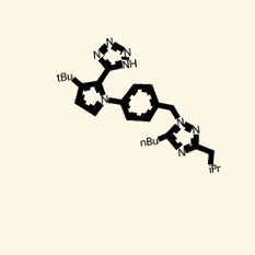 CCCCc1nc(CC(C)C)nn1Cc1ccc(-n2ccc(C(C)(C)C)c2-c2nnn[nH]2)cc1